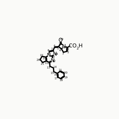 O=C(O)C1=CCC2/C(=C\c3cn4c5c(c(CCCc6ccccc6)nc4n3)CCC5)C(=O)N12